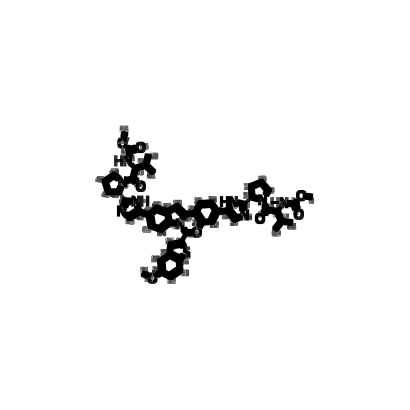 COC(=O)N[C@H](C(=O)N1CCC[C@H]1c1ncc(-c2ccc3c(c2)O[C@@H](c2cc4cc(OC)ccc4s2)n2c-3cc3cc(-c4cnc([C@@H]5CCCN5C(=O)[C@@H](NC(=O)OC)C(C)C)[nH]4)ccc32)[nH]1)C(C)C